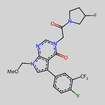 COCn1cc(-c2ccc(F)c(C(F)(F)F)c2)c2c(=O)n(CC(=O)N3CCC(F)C3)cnc21